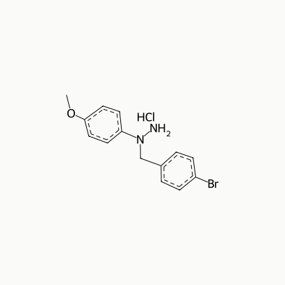 COc1ccc(N(N)Cc2ccc(Br)cc2)cc1.Cl